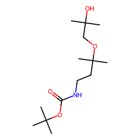 CC(C)(O)COC(C)(C)CCNC(=O)OC(C)(C)C